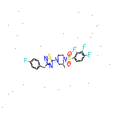 CC1CN(c2nc(Cc3ccc(F)cc3)ns2)CCN1S(=O)(=O)c1ccc(F)c(F)c1F